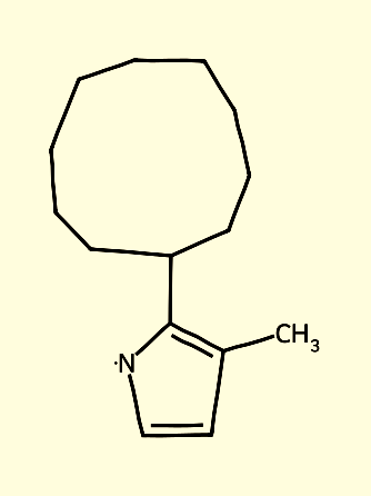 CC1=C(C2CCCCCCCCC2)[N]C=C1